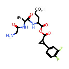 CC(C)C(NC(=O)CN)C(=O)NC(CCC(=O)O)C(=O)OC(=O)C1CC1c1ccc(F)c(F)c1